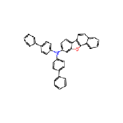 c1ccc(-c2ccc(N(c3ccc(-c4ccccc4)cc3)c3ccc4c(c3)oc3c5ccccc5ccc43)cc2)cc1